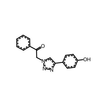 O=C(Cn1cc(-c2ccc(O)cc2)nn1)c1ccccc1